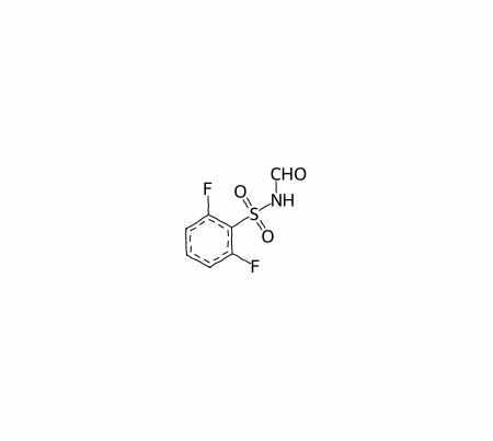 O=CNS(=O)(=O)c1c(F)cccc1F